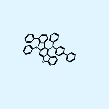 c1ccc(-c2ccc(N(c3ccccc3)c3c4c(cc5c3c3cccc(-c6ccccc6)c3n5-c3ccccc3)oc3ccccc34)cc2)cc1